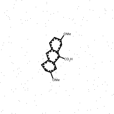 COc1ccc2cc3ccc(OC)cc3c(C(=O)O)c2c1